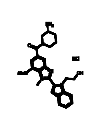 COc1cc(C(=O)N2CCC[C@@H](N)C2)cc2nc(-c3cc4ccccc4n3CCO)n(C)c12.Cl